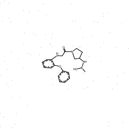 CB(O)NC1CCN(C(=O)CNc2ccccc2Oc2ccccc2)C1